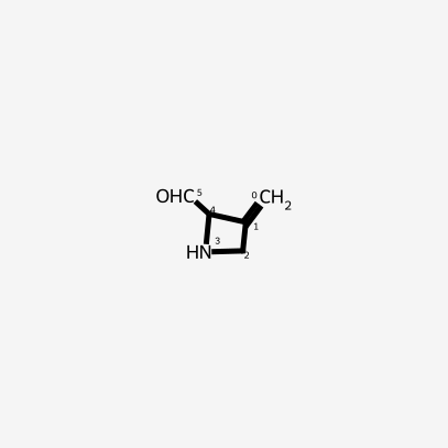 C=C1CNC1C=O